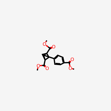 COC(=O)c1ccc(C2C3(C(=O)OC)CC2(C(=O)OC)C3)cc1